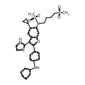 CS(=O)(=O)CCCCN(c1cc2oc(-c3ccc(Nc4ccccc4)cc3)c(-c3ncc[nH]3)c2cc1C1CC1)S(C)(=O)=O